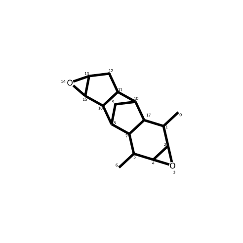 CC1C2OC2C(C)C2C3CC(C4CC5OC5C43)C12